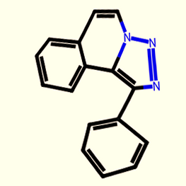 c1ccc(-c2nnn3ccc4ccccc4c23)cc1